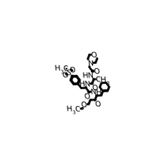 CCOCCC(=O)C(CC1=CCCCC1)NC(=O)C(Cc1ccc(S(C)(=O)=O)cc1)NC(=O)C(C)NC(=O)CN1CCOCC1